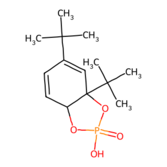 CC(C)(C)C1=CC2(C(C)(C)C)OP(=O)(O)OC2C=C1